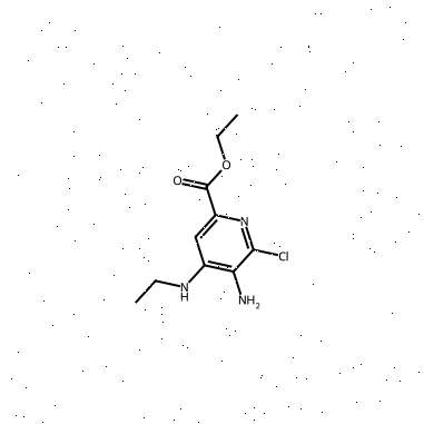 CCNc1cc(C(=O)OCC)nc(Cl)c1N